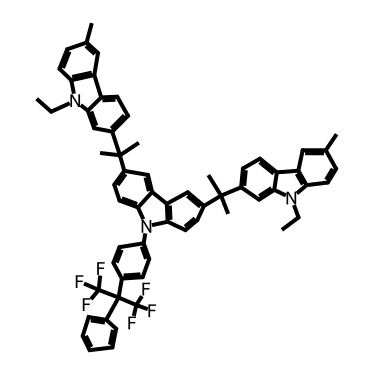 CCn1c2ccc(C)cc2c2ccc(C(C)(C)c3ccc4c(c3)c3cc(C(C)(C)c5ccc6c7cc(C)ccc7n(CC)c6c5)ccc3n4-c3ccc(C(c4ccccc4)(C(F)(F)F)C(F)(F)F)cc3)cc21